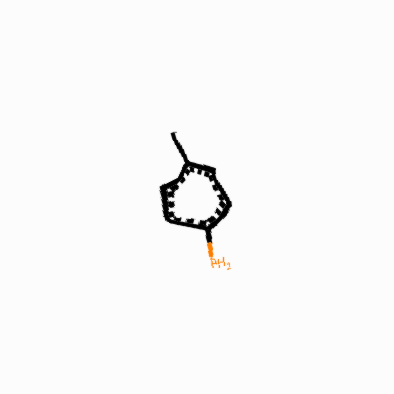 [CH2]c1ccc(P)cc1